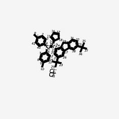 Cc1ccc([Si](c2ccc(C)cc2)=[Zr+2]([C]2=CC=CC2)[c]2cc(C(C)(C)C)cc3c2Cc2ccc(C(C)(C)C)cc2-3)cc1.[Cl-].[Cl-]